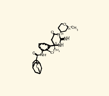 C[C@@H]1C[C@H](N2C(=N)N[C@](C)(c3cccc(NC(=O)C45CC6CC(CC4C6)C5)c3Cl)CC2=O)CCO1